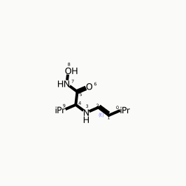 CC(C)/C=C/NC(C(=O)NO)C(C)C